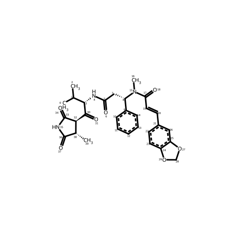 CC(C)[C@H](NC(=O)C[C@@H](c1ccccc1)N(C)C(=O)/C=C/c1ccc2c(c1)OCO2)C(=O)[C@@H]1C(=O)NC(=O)[C@H]1C